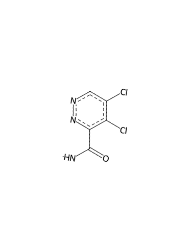 [NH]C(=O)c1nncc(Cl)c1Cl